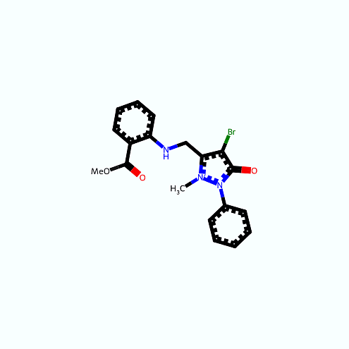 COC(=O)c1ccccc1NCc1c(Br)c(=O)n(-c2ccccc2)n1C